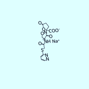 O=C(CSc1cccnn1)N[C@H]1CON(C2(C(=O)[O-])CCC(=O)O2)C1=O.[Na+]